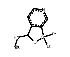 CCCCNC1O[Si](CC)(CC)c2cnccc21